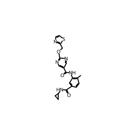 Cc1ccc(C(=O)NC2CC2)cc1NC(=O)c1cnc(OCc2nccs2)nc1